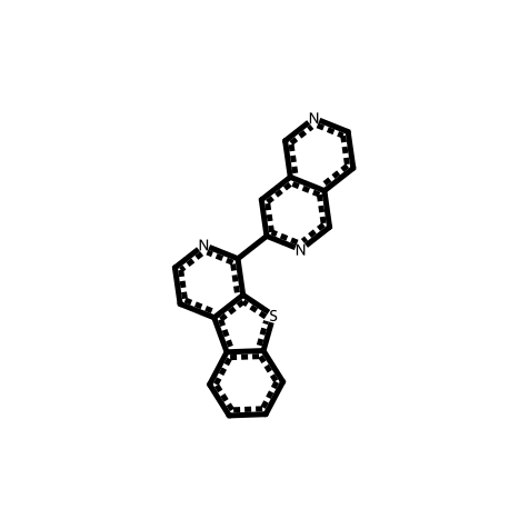 c1ccc2c(c1)sc1c(-c3cc4cnccc4cn3)nccc12